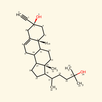 C#C[C@]1(O)CC[C@H]2C(=CCC3C2CC[C@]2(C)C(C(C)CCC(C)(C)O)CCC32)C1